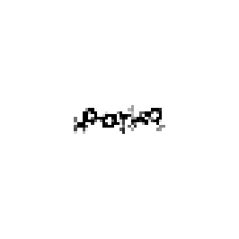 O=C(Nc1nc2cc(-c3cccc(C(F)(F)F)c3)ccc2[nH]1)c1cn2c(Br)cccc2n1